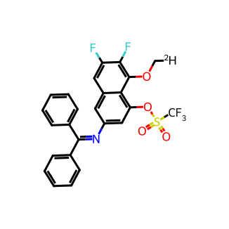 [2H]COc1c(F)c(F)cc2cc(N=C(c3ccccc3)c3ccccc3)cc(OS(=O)(=O)C(F)(F)F)c12